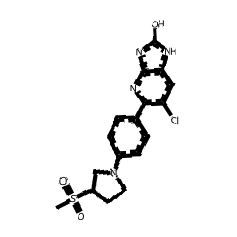 CS(=O)(=O)C1CCN(c2ccc(-c3nc4nc(O)[nH]c4cc3Cl)cc2)C1